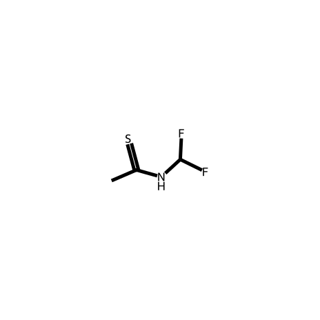 CC(=S)NC(F)F